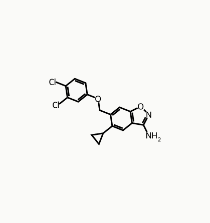 Nc1noc2cc(COc3ccc(Cl)c(Cl)c3)c(C3CC3)cc12